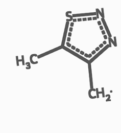 [CH2]c1nnsc1C